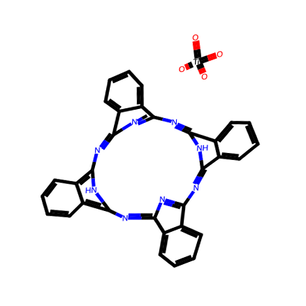 [O]=[Ti](=[O])(=[O])=[O].c1ccc2c(c1)-c1nc-2nc2[nH]c(nc3nc(nc4[nH]c(n1)c1ccccc41)-c1ccccc1-3)c1ccccc21